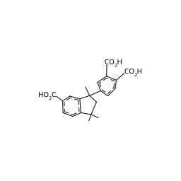 CC1(C)CC(C)(c2ccc(C(=O)O)c(C(=O)O)c2)c2cc(C(=O)O)ccc21